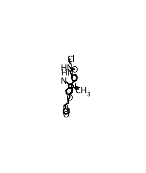 CCn1c(-c2cccc(NC(=O)NCCCl)c2)c(C#N)c2ccc(OCCCN3CCOCC3)cc21